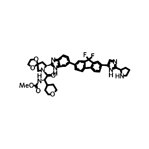 COC(=O)N[C@H](C(=O)N1CC2(C[C@H]1c1nc3ccc(-c4ccc5c(c4)C(F)(F)c4cc(-c6cnc(C7CCCN7)[nH]6)ccc4-5)cc3[nH]1)OCCO2)C1CCOCC1